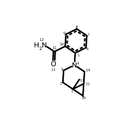 CC12CCN(c3ccccc3C(N)=O)CC1C2